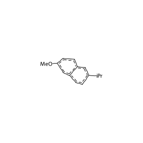 COc1ccc2cc(C(C)C)ccc2c1